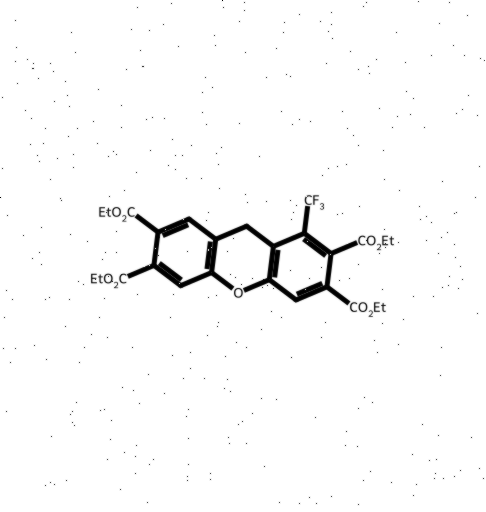 CCOC(=O)c1cc2c(cc1C(=O)OCC)Oc1cc(C(=O)OCC)c(C(=O)OCC)c(C(F)(F)F)c1C2